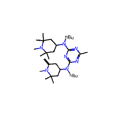 C=C1CC(N(CCCC)c2nc(C)nc(N(CCCC)C3CC(C)(C)N(C)C(C)(C)C3)n2)CC(C)(C)N1C